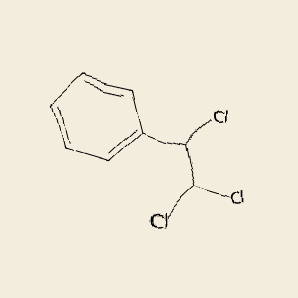 ClC(Cl)C(Cl)c1ccccc1